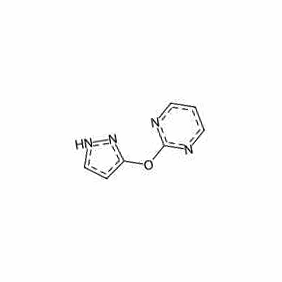 c1cnc(Oc2cc[nH]n2)nc1